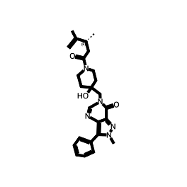 C=C(C)[C@H](C)CC(=O)N1CCC(O)(Cn2cnc3c(-c4ccccc4)n(C)nc3c2=O)CC1